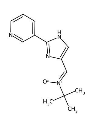 CC(C)(C)[N+]([O-])=Cc1c[nH]c(-c2cccnc2)n1